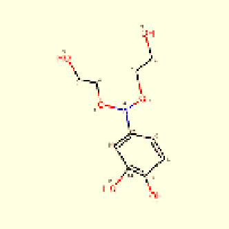 OCCON(OCCO)c1ccc(O)c(O)c1